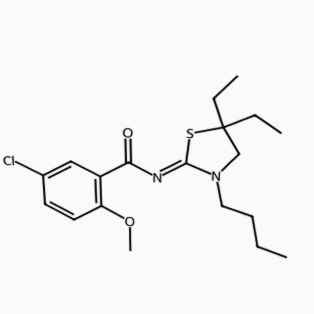 CCCCN1CC(CC)(CC)SC1=NC(=O)c1cc(Cl)ccc1OC